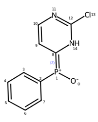 [O-]/[P+](c1ccccc1)=c1/ccnc(Cl)[nH]1